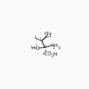 CCC(C)[C@@](N)(O)C(=O)O